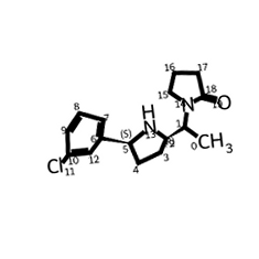 CC([C@H]1CC[C@@H](c2cccc(Cl)c2)N1)N1CCCC1=O